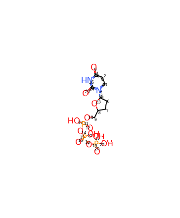 O=c1ccn([C@H]2CCC(COP(=O)(O)OP(=O)(O)OP(=O)(O)O)O2)c(=O)[nH]1